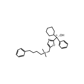 C[N+](C)(CCCCc1ccccc1)Cc1cnc([C@](O)(c2ccccc2)C2CCCCC2)o1